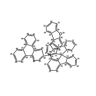 c1ccc2c(c1)-c1ccccc1C21c2ccccc2-c2cccc(N(c3ccc4oc5ccccc5c4c3)c3ccc4c5ccccc5c5ccccc5c4c3)c21